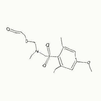 COc1cc(C)c(S(=O)(=O)N(C)COC=O)c(C)c1